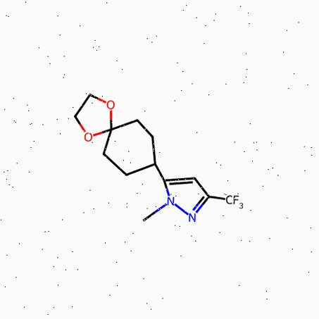 Cn1nc(C(F)(F)F)cc1C1CCC2(CC1)OCCO2